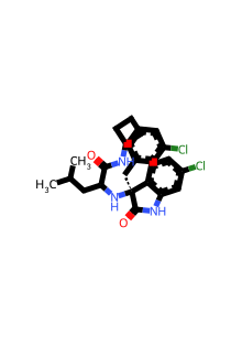 CC(C)CC(N[C@]1(Cc2cccc(Cl)c2)C(=O)Nc2cc(Cl)ccc21)C(=O)NC1CCC1